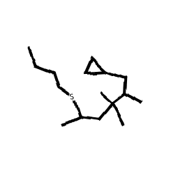 CCCCSC(C)CC(C)(C)C(C)CC1CC1